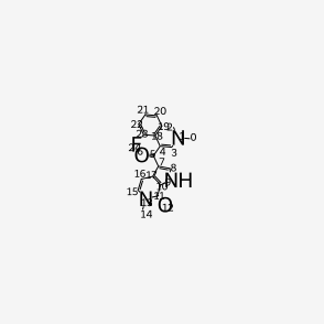 CN(C)/C=C(/C(=O)c1c[nH]c2c(=O)n(C)ccc12)c1ccccc1F